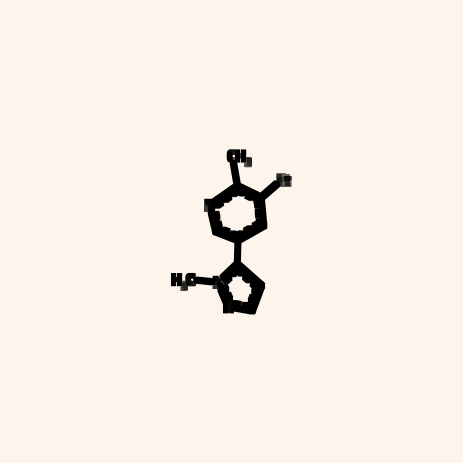 CCc1cc(-c2ccnn2C)cnc1C